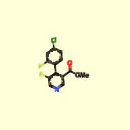 COC(=O)c1cncc(F)c1-c1ccc(Cl)cc1F